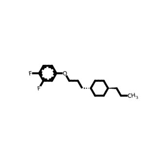 CCC[C@H]1CC[C@H](CCCOc2ccc(F)c(F)c2)CC1